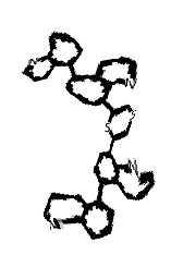 C1=C(c2ccc(-c3cccc4ncccc34)c3cccnc23)SC(c2ccc(-c3cccc4ncccc34)c3cccnc23)=CS1